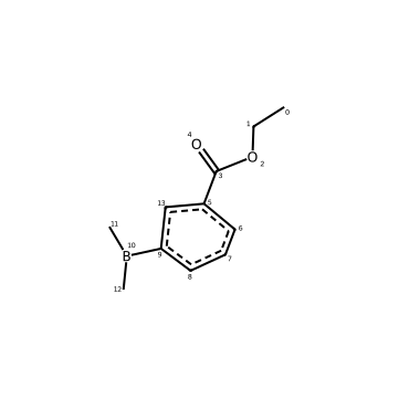 CCOC(=O)c1cccc(B(C)C)c1